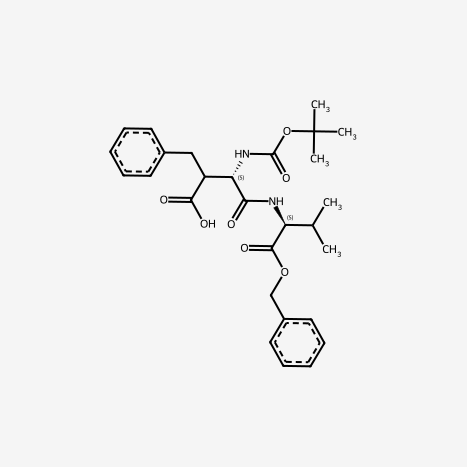 CC(C)[C@H](NC(=O)[C@@H](NC(=O)OC(C)(C)C)C(Cc1ccccc1)C(=O)O)C(=O)OCc1ccccc1